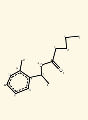 CCCCC(=O)OC(C)c1ccccc1C